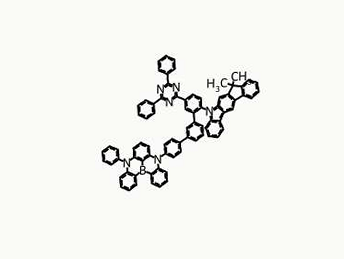 CC1(C)c2ccccc2-c2cc3c4ccccc4n(-c4ccc(-c5nc(-c6ccccc6)nc(-c6ccccc6)n5)cc4-c4cccc(-c5ccc(N6c7ccccc7B7c8ccccc8N(c8ccccc8)c8cccc6c87)cc5)c4)c3cc21